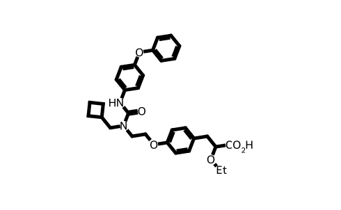 CCOC(Cc1ccc(OCCN(CC2CCC2)C(=O)Nc2ccc(Oc3ccccc3)cc2)cc1)C(=O)O